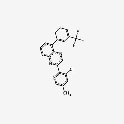 Cc1cnc(-c2cnc3c(C4=CC(C(F)(F)F)=CC[CH]4)ccnc3n2)c(Cl)c1